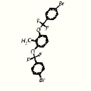 Cc1c(OC(F)(F)c2ccc(Br)cc2)cccc1OC(F)(F)c1ccc(Br)cc1